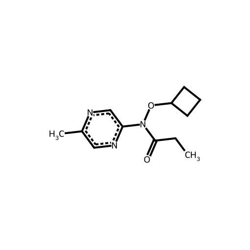 CCC(=O)N(OC1CCC1)c1cnc(C)cn1